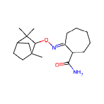 CC12CCC(C1)C(C)(C)C2ON=C1CCCCCC1C(N)=O